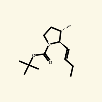 CC/C=C/[C@@H]1[C@@H](C)CCN1C(=O)OC(C)(C)C